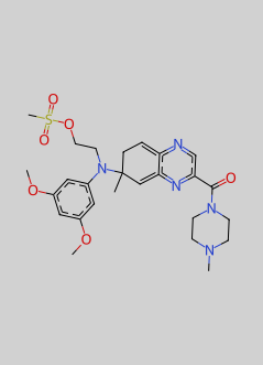 COc1cc(OC)cc(N(CCOS(C)(=O)=O)C2(C)C=c3nc(C(=O)N4CCN(C)CC4)cnc3=CC2)c1